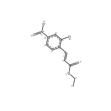 CCOC(=O)/C=C/c1ccc([N+](=O)[O-])cc1Cl